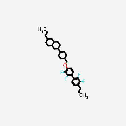 CCCc1ccc(-c2ccc(OCC3CCC(C4CCC5CC(CCC)CCC5C4)CC3)c(F)c2F)c(F)c1F